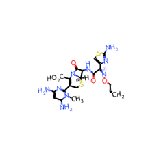 C=CCO/N=C(\C(=O)NC1C(=O)N2C(C(=O)O)=C(C3=NC(N)=CC(N)N3C)CS[C@@H]12)c1csc(N)n1